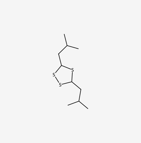 CC(C)CC1SSC(CC(C)C)S1